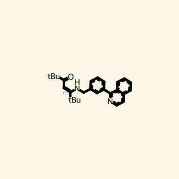 CC(C)(C)C(=O)/C=C(\NCc1cccc(-c2nccc3ccccc23)c1)C(C)(C)C